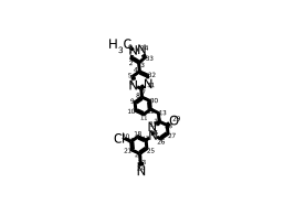 Cn1cc(-c2cnc(-c3cccc(Cc4nn(-c5cc(Cl)cc(C#N)c5)ccc4=O)c3)nc2)cn1